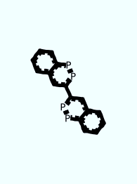 c1ccc2ppc(-c3cc4ccccc4pp3)cc2c1